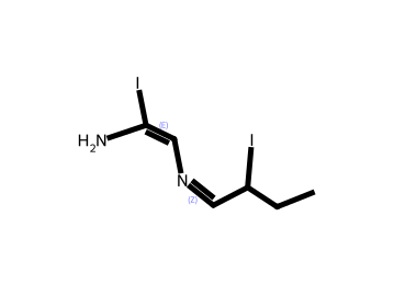 CCC(I)/C=N\C=C(/N)I